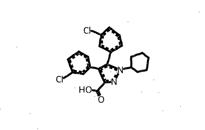 O=C(O)c1nn(C2CCCCC2)c(-c2cccc(Cl)c2)c1-c1cccc(Cl)c1